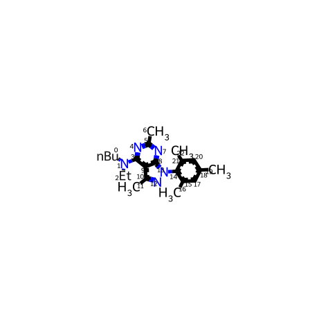 CCCCN(CC)c1nc(C)nc2c1c(C)nn2-c1c(C)cc(C)cc1C